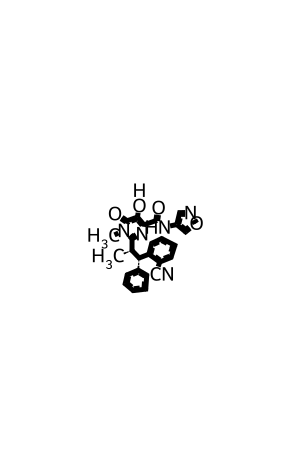 C[C@H](c1nc(C(=O)Nc2cnoc2)c(O)c(=O)n1C)[C@@H](c1ccccc1)c1ccccc1C#N